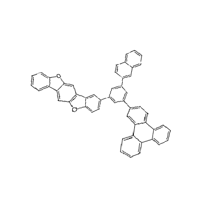 c1ccc2cc(-c3cc(-c4ccc5oc6cc7c(cc6c5c4)oc4ccccc47)cc(-c4ccc5c6ccccc6c6ccccc6c5c4)c3)ccc2c1